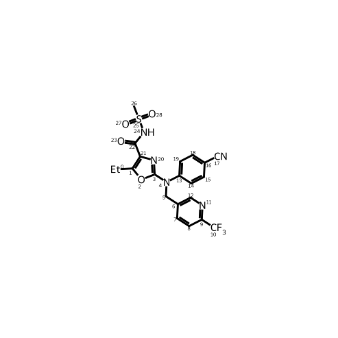 CCc1oc(N(Cc2ccc(C(F)(F)F)nc2)c2ccc(C#N)cc2)nc1C(=O)NS(C)(=O)=O